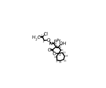 C=C(Cl)CON=C(CCC)C1=C(O)CC2(CCCCCC2)OC1=O